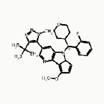 BC(B)(B)c1nnn(C)c1-c1cnc2c(c1)N([C@H](c1ccccc1F)C1CCOCC1)C1C=CC(OC)=C21